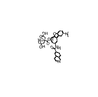 CN(C)C1=CC=c2oc3c(c2C1)C=C(NC(=O)c1ccc2cnccc2c1)C=CC=3.O=C(O)CC(O)(CC(=O)O)C(=O)O